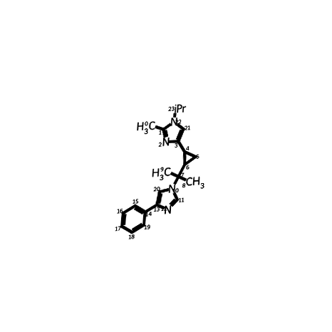 Cc1nc(C2CC2C(C)(C)n2cnc(-c3ccccc3)c2)cn1C(C)C